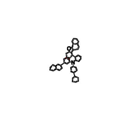 c1ccc(-c2ccc(N(c3cccc(-c4ccc5ccccc5c4)c3)c3ccccc3-c3cccc4oc5c6ccccc6ccc5c34)cc2)cc1